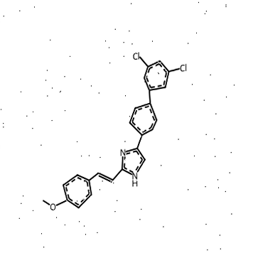 COc1ccc(C=Cc2nc(-c3ccc(-c4cc(Cl)cc(Cl)c4)cc3)c[nH]2)cc1